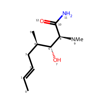 C/C=C/C[C@@H](C)[C@@H](O)[C@H](NC)C(N)=O